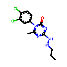 CCCNNc1nc(C)n(-c2ccc(Cl)c(Cl)c2)c(=O)n1